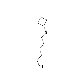 SCCSCCSC1CSC1